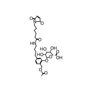 CC(=O)OCc1ccc(CCCCNC(=O)CCCCCN2C(=O)C=CC2=O)cc1O[C@H]1O[C@@H](C(=O)O)[C@H](O)[C@@H](O)[C@@H]1O